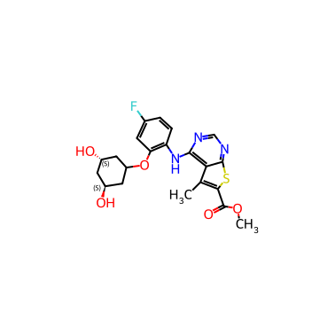 COC(=O)c1sc2ncnc(Nc3ccc(F)cc3OC3C[C@@H](O)C[C@H](O)C3)c2c1C